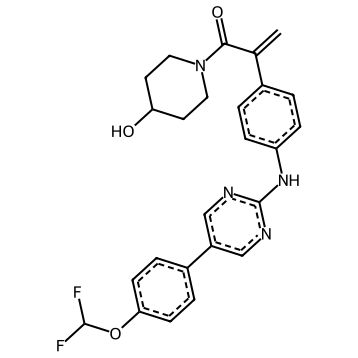 C=C(C(=O)N1CCC(O)CC1)c1ccc(Nc2ncc(-c3ccc(OC(F)F)cc3)cn2)cc1